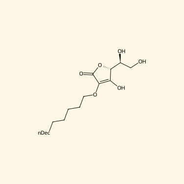 CCCCCCCCCCCCCCCOC1=C(O)[C@@H]([C@@H](O)CO)OC1=O